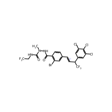 CN(NC(=O)c1ccc(/C=C/C(c2cc(Cl)c(Cl)c(Cl)c2)C(F)(F)F)cc1Br)C(=O)NCC(F)(F)F